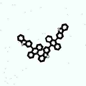 C1=Cc2c(c(-c3ccc4c(c3)oc3cccc(-c5c6ccccc6c(-c6ccc7c(c6)sc6ccccc67)c6ccccc56)c34)c3ccccc3c2-c2ccc3c(c2)sc2ccccc23)CC1